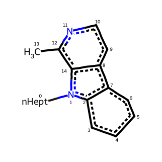 CCCCCCCn1c2ccccc2c2ccnc(C)c21